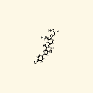 C[C@@H](O)COc1ccc(-n2cnc3cc(-c4ccc(Cl)cc4)sc3c2=O)cc1P